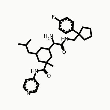 CC(C)CC1CC(C(N)C(=O)NCC2(c3ccc(F)cc3)CCCC2)CC(C)(C(=O)Nc2ccncc2)C1